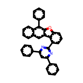 c1ccc(-c2cc(-c3ccccc3)nc(-c3cccc4oc5c(-c6ccccc6)c6ccccc6cc5c34)n2)cc1